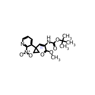 COC(=O)/C(=C\C1(c2cccnc2[N+](=O)[O-])CC1)NC(=O)OC(C)(C)C